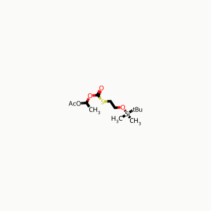 CC(=O)OC(C)OC(=O)SCCO[Si](C)(C)C(C)(C)C